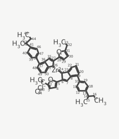 CCc1ccc(C2=Cc3c(-c4ccc(C(C)CC)cc4)cccc3[CH]2[Zr+2][CH]2C(c3ccc(CC)o3)=Cc3c(-c4ccc(C(C)CC)cc4)cccc32)o1.[Cl-].[Cl-]